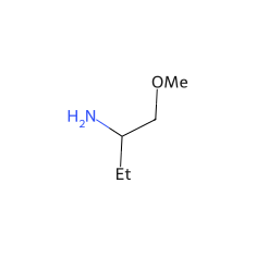 [CH2]CC(N)COC